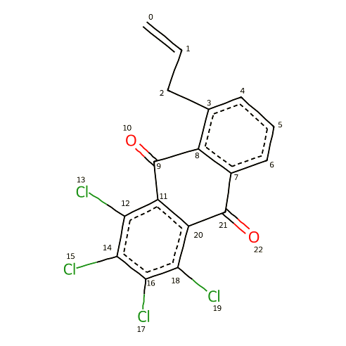 C=CCc1cccc2c1C(=O)c1c(Cl)c(Cl)c(Cl)c(Cl)c1C2=O